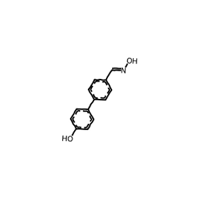 ON=Cc1ccc(-c2ccc(O)cc2)cc1